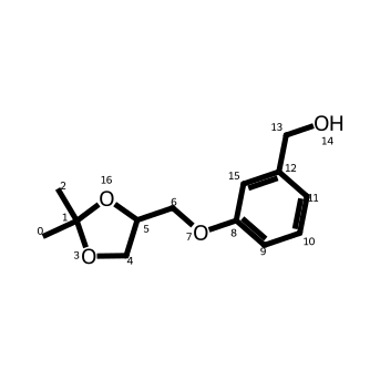 CC1(C)OCC(COc2cccc(CO)c2)O1